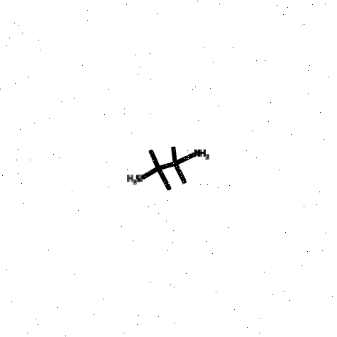 CC(C)(N)C(C)(C)[SiH3]